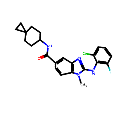 Cn1c(Nc2c(F)cccc2Cl)nc2cc(C(=O)NC3CCC4(CC3)CC4)ccc21